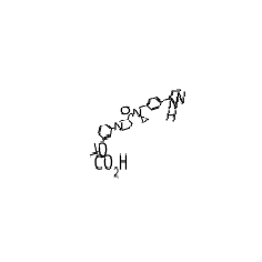 CC(C)(Oc1cccc(N2CCCC(C(=O)N(Cc3ccc(-c4ccn[nH]4)cc3)C3CC3)C2)c1)C(=O)O